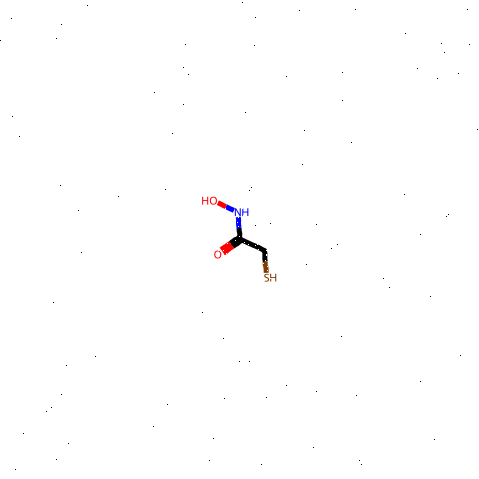 O=C(CS)NO